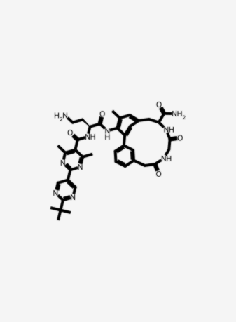 Cc1cc2cc(c1NC(=O)[C@H](CCN)NC(=O)c1c(C)nc(-c3cnc(C(C)(C)C)nc3)nc1C)-c1cccc(c1)CC(=O)NCC(=O)NC(C(N)=O)C2